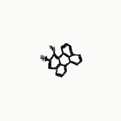 [2H]c1cc2cccc3c4cccc5cccc(c(c1[2H])c23)c54